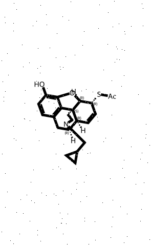 CC(=O)S[C@@H]1C=C[C@H]2[C@H]3Cc4ccc(O)c5c4[C@@]2(CCN3CC2CC2)[C@H]1O5